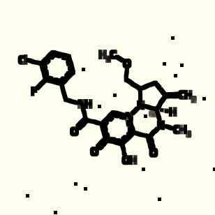 C=C1CC(COC)N2[C@@H]1N(C)C(=O)c1c(O)c(=O)c(C(=O)NCc3cccc(Cl)c3F)cn12